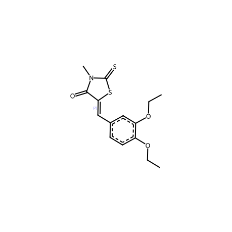 CCOc1ccc(/C=C2\SC(=S)N(C)C2=O)cc1OCC